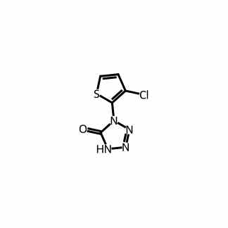 O=c1[nH]nnn1-c1sccc1Cl